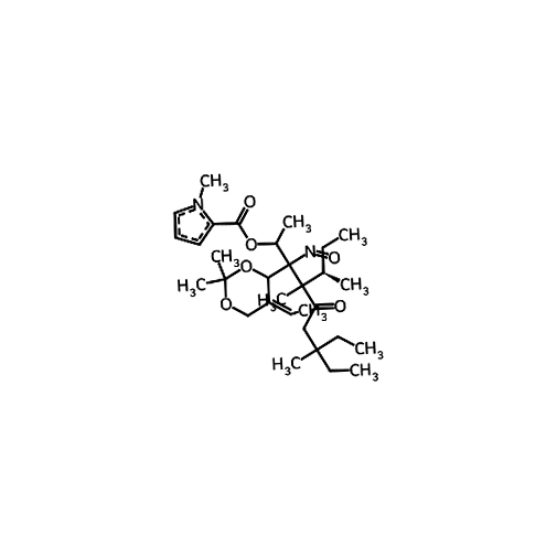 C/C=C1/COC(C)(C)OC1C(N=O)(C(C)OC(=O)c1cccn1C)C(C)(C(=O)CC(C)(CC)CC)[C@H](C)CC